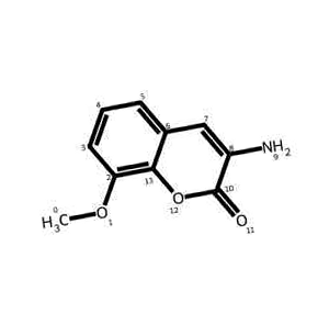 COc1cccc2cc(N)c(=O)oc12